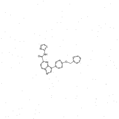 O=C(Nc1nccs1)c1ccn2ncc(-c3ccc(OCc4ccccc4)cc3)c2n1